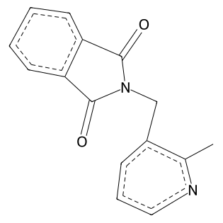 Cc1ncccc1CN1C(=O)c2ccccc2C1=O